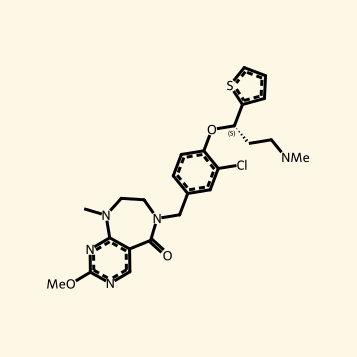 CNCC[C@H](Oc1ccc(CN2CCN(C)c3nc(OC)ncc3C2=O)cc1Cl)c1cccs1